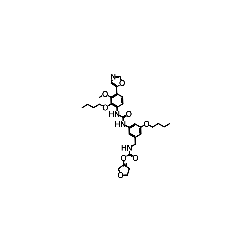 CCCCOc1cc(CNC(=O)O[C@H]2CCOC2)cc(NC(=O)Nc2ccc(-c3cnco3)c(OC)c2OCCCC)c1